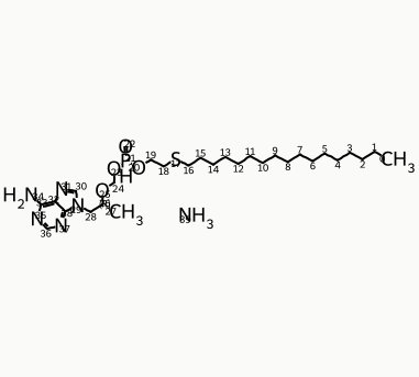 CCCCCCCCCCCCCCCCCSCCO[PH](=O)OCO[C@H](C)Cn1cnc2c(N)ncnc21.N